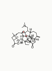 C=C1CC[C@H]2C(CN(C)C)C(=O)O[C@@H]2[C@@H]2[C@H]1CC(=O)[C@]21CC[C@]2(O)[C@@H]3[C@H]4OC(=O)C5C[N+](C)(C)[C@]54CCC(=C)[C@]3(C)C[C@@]21O